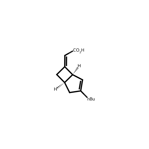 CCCCC1=C[C@@H]2/C(=C\C(=O)O)C[C@@H]2C1